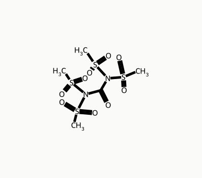 CS(=O)(=O)N(C(=O)N(S(C)(=O)=O)S(C)(=O)=O)S(C)(=O)=O